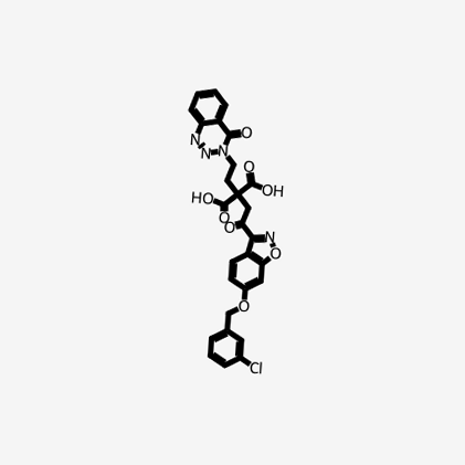 O=C(CC(CCn1nnc2ccccc2c1=O)(C(=O)O)C(=O)O)c1noc2cc(OCc3cccc(Cl)c3)ccc12